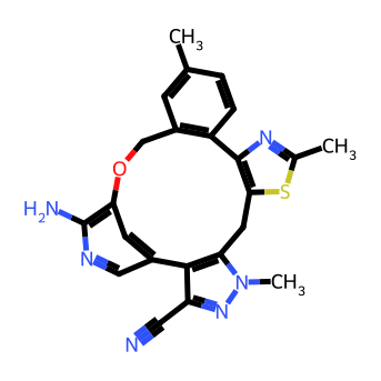 Cc1ccc2c(c1)COc1cc(cnc1N)-c1c(C#N)nn(C)c1Cc1sc(C)nc1-2